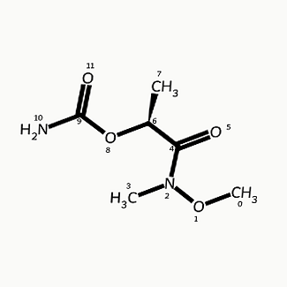 CON(C)C(=O)[C@H](C)OC(N)=O